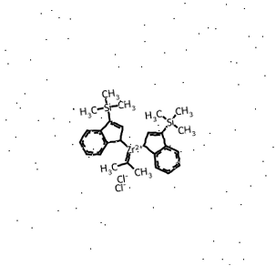 C[C](C)=[Zr+2]([CH]1C=C([Si](C)(C)C)c2ccccc21)[CH]1C=C([Si](C)(C)C)c2ccccc21.[Cl-].[Cl-]